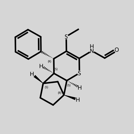 CSC1=C(NC=O)S[C@H]2[C@@H]3CC[C@@H](C3)[C@H]2[C@@H]1c1ccccc1